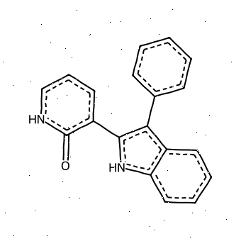 O=c1[nH]cccc1-c1[nH]c2ccccc2c1-c1ccccc1